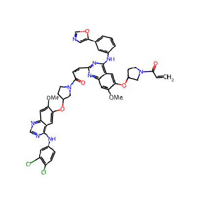 C=CC(=O)N1CCC(Oc2cc3c(Nc4cccc(-c5cnco5)c4)nc(/C=C\C(=O)N4CCC(Oc5cc6c(Nc7ccc(Cl)c(Cl)c7)ncnc6cc5OC)C4)nc3cc2OC)C1